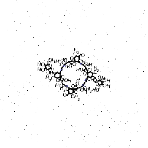 C/C1=C\C=C\C2(C)C=C(CO[C@H]3O[C@H](CO)[C@H](O)[C@H](O)[C@H]3O)C(C)CC23OC(O)C(C3=O)C(O)/C=C/C2(C)C=C(C=O)C(C)CC23OC(O)C(C3=O)C(O)/C(C)=C/C=C/C2C=C(CO[C@H]3O[C@H](CO)[C@H](O)[C@H](O)[C@H]3O)C(C)CC23OC(O)C(C3=O)C(O)/C=C/C2(C)C=C(C=O)C(C)CC23OC(O)C(C3=O)C1O